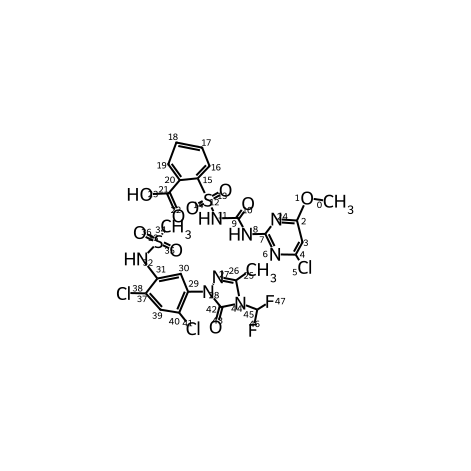 COc1cc(Cl)nc(NC(=O)NS(=O)(=O)c2ccccc2C(=O)O)n1.Cc1nn(-c2cc(NS(C)(=O)=O)c(Cl)cc2Cl)c(=O)n1C(F)F